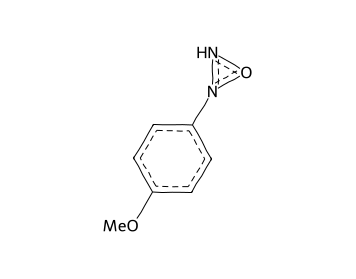 COc1ccc(-n2[nH]o2)cc1